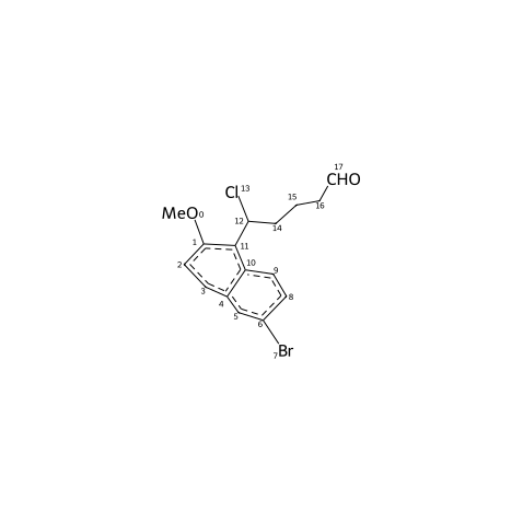 COc1ccc2cc(Br)ccc2c1C(Cl)CCCC=O